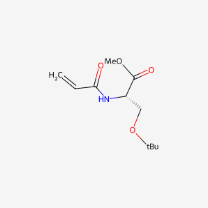 C=CC(=O)N[C@@H](COC(C)(C)C)C(=O)OC